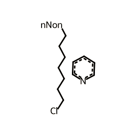 CCCCCCCCCCCCCCCCCl.c1ccncc1